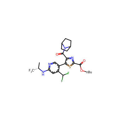 CCCCOC(=O)c1nc(C(=O)N2C3CCC2CC3)c(-c2cnc(N[C@@H](C)C(F)(F)F)cc2C(F)F)s1